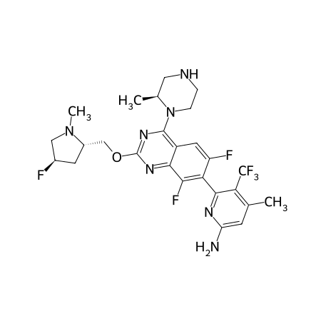 Cc1cc(N)nc(-c2c(F)cc3c(N4CCNC[C@@H]4C)nc(OC[C@@H]4C[C@@H](F)CN4C)nc3c2F)c1C(F)(F)F